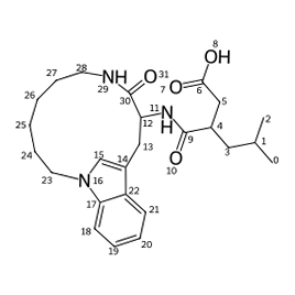 CC(C)CC(CC(=O)O)C(=O)NC1Cc2cn(c3ccccc23)CCCCCCNC1=O